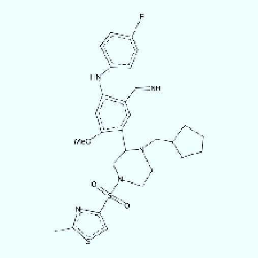 COc1cc(Nc2ccc(F)cc2)c(C=N)cc1C1CN(S(=O)(=O)c2csc(C)n2)CCN1CC1CCCC1